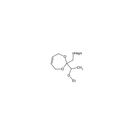 CCCCCCCCC1(C(C)OCC)OCC=CCO1